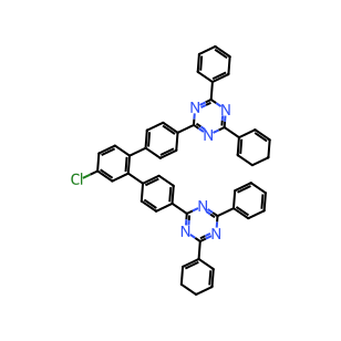 Clc1ccc(-c2ccc(-c3nc(C4=CCCC=C4)nc(-c4ccccc4)n3)cc2)c(-c2ccc(-c3nc(C4=CCCC=C4)nc(-c4ccccc4)n3)cc2)c1